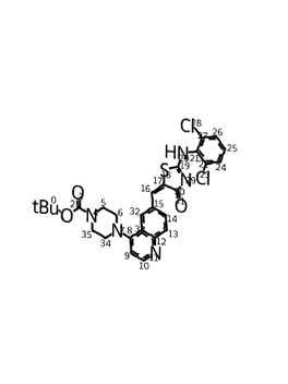 CC(C)(C)OC(=O)N1CCN(c2ccnc3ccc(C=C4SC(Nc5c(Cl)cccc5Cl)=NC4=O)cc23)CC1